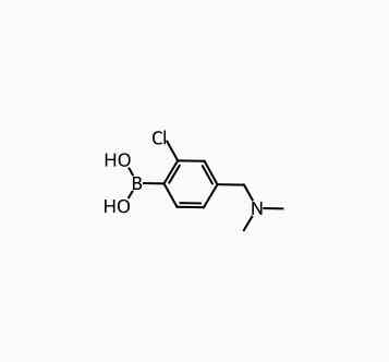 CN(C)Cc1ccc(B(O)O)c(Cl)c1